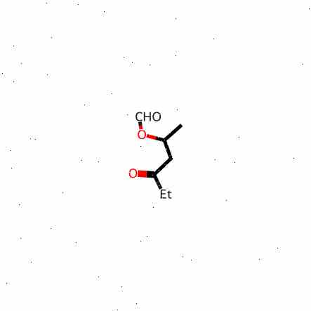 [CH2-][CH+]C(=O)CC(C)OC=O